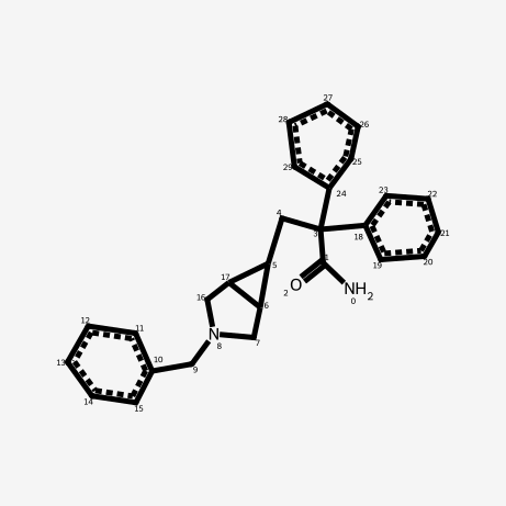 NC(=O)C(CC1C2CN(Cc3ccccc3)CC21)(c1ccccc1)c1ccccc1